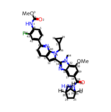 COC(=O)Nc1ccc(-c2ccc3cc(-c4nc5cc(C(=O)N6C[C@H]7CC[C@@H]6[C@@H]7N)cc(OC)c5n4C)n(CC4CC4)c3n2)cc1F